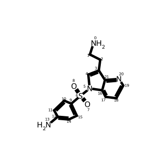 NCCc1cn(S(=O)(=O)c2ccc(N)cc2)c2cccnc12